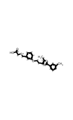 Cc1cccc(-c2nc(CCOc3cccc(CSCC(=O)O)c3)c(C)o2)c1